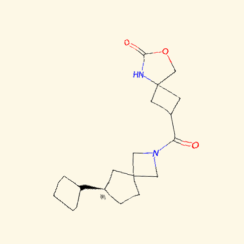 O=C1NC2(CO1)CC(C(=O)N1CC3(CC[C@@H](C4CCC4)C3)C1)C2